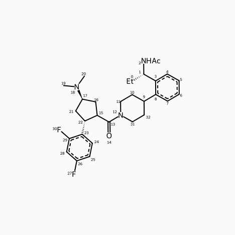 CC[C@H](NC(C)=O)c1ccccc1C1CCN(C(=O)C2C[C@H](N(C)C)C[C@H]2c2ccc(F)cc2F)CC1